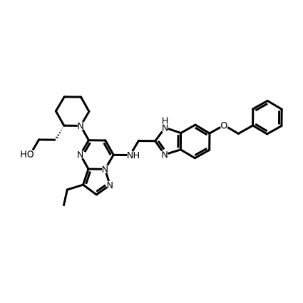 CCc1cnn2c(NCc3nc4ccc(OCc5ccccc5)cc4[nH]3)cc(N3CCCC[C@H]3CCO)nc12